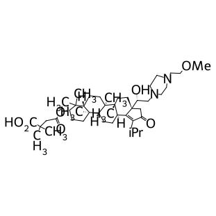 COCCN1CCN(C[C@@H](O)[C@@]23CC[C@]4(C)[C@H](CC[C@@H]5[C@@]6(C)CC[C@H](OC(=O)CC(C)(C)C(=O)O)C(C)(C)[C@@H]6CC[C@]54C)C2=C(C(C)C)C(=O)C3)CC1